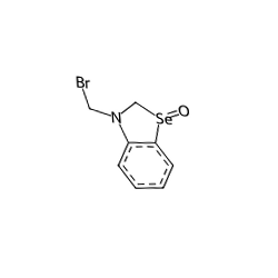 O=[Se]1CN(CBr)c2ccccc21